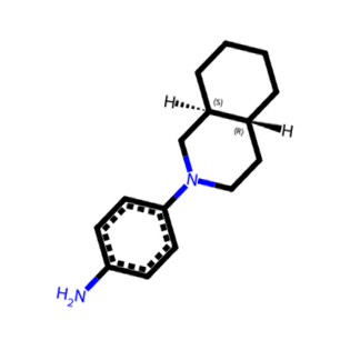 Nc1ccc(N2CC[C@H]3CCCC[C@@H]3C2)cc1